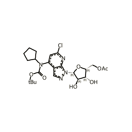 CC(=O)OC[C@H]1O[C@@H](n2ncc3c(N(C(=O)OC(C)(C)C)C4CCCC4)cc(Cl)nc32)[C@H](O)[C@H]1O